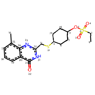 CCS(=O)(=O)OC1CCC(SCc2nc3c(C)cccc3c(=O)[nH]2)CC1